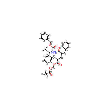 CC(C)C[C@H](NC(=O)[C@@H](Cc1ccccc1)C[C@H](Cc1ccccc1)C(=O)OCOC(=O)C(C)(C)C)C(=O)OCc1ccccc1